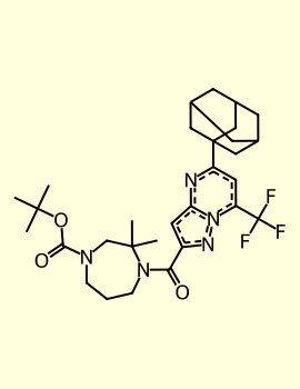 CC(C)(C)OC(=O)N1CCCN(C(=O)c2cc3nc(C45CC6CC(CC(C6)C4)C5)cc(C(F)(F)F)n3n2)C(C)(C)C1